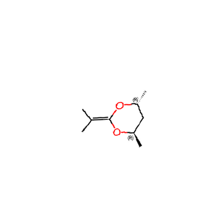 CC(C)=C1O[C@H](C)C[C@@H](C)O1